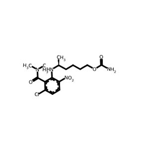 C[C@@H](CCCCOC(N)=O)Nc1c([N+](=O)[O-])ccc(Cl)c1C(=O)N(C)C